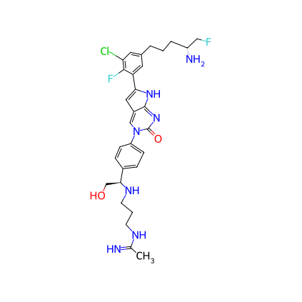 CC(=N)NCCCN[C@@H](CO)c1ccc(-n2cc3cc(-c4cc(CCC[C@@H](N)CF)cc(Cl)c4F)[nH]c3nc2=O)cc1